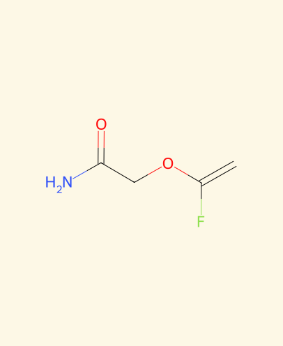 C=C(F)OCC(N)=O